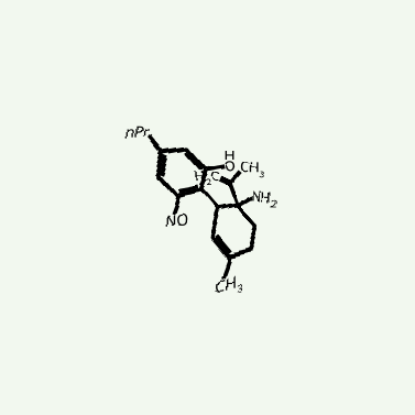 C=C(C)C1(N)CCC(C)=CC1c1c(O)cc(CCC)cc1N=O